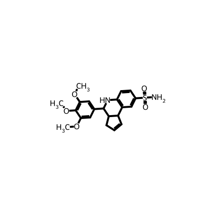 COc1cc(C2Nc3ccc(S(N)(=O)=O)cc3C3C=CCC32)cc(OC)c1OC